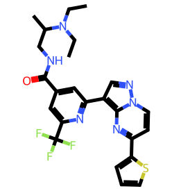 CCN(CC)C(C)CNC(=O)c1cc(-c2cnn3ccc(-c4cccs4)nc23)nc(C(F)(F)F)c1